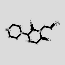 C=CCN1C(=O)CNC(N2CCNCC2)C1=O